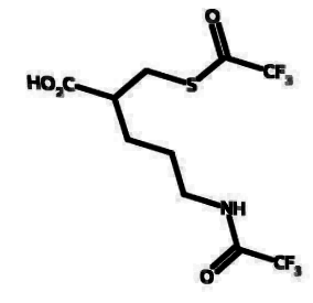 O=C(O)C(CCCNC(=O)C(F)(F)F)CSC(=O)C(F)(F)F